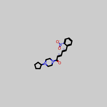 O=C(/C=C/C=C/c1ccccc1[N+](=O)[O-])N1CCN(C2CCCC2)CC1